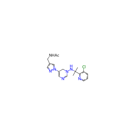 CC(=O)NCc1cnn(C2=CN=CN(NC(C)(C)c3ncccc3Cl)C2)c1